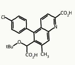 Cc1cc2nc(C(=O)O)ccc2c(-c2ccc(Cl)cc2)c1C(OC(C)(C)C)C(=O)O